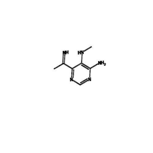 CNc1c(N)ncnc1C(C)=N